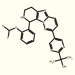 CC(C)(O)c1ncc(-c2ccc3nc4c(n3n2)C(c2ccccc2OC(F)F)NCC4)cn1